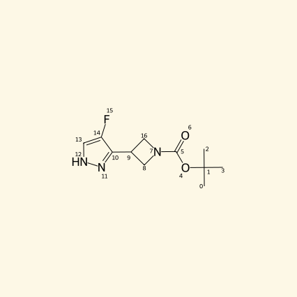 CC(C)(C)OC(=O)N1CC(c2n[nH]cc2F)C1